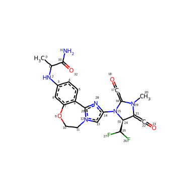 CC(Nc1ccc2c(c1)OCCn1cc(N3C(=C=O)N(C)C(=C=O)[C@H]3C(F)F)nc1-2)C(N)=O